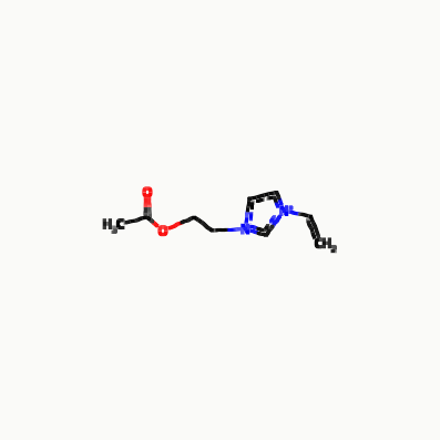 C=C[n+]1ccn(CCOC(C)=O)c1